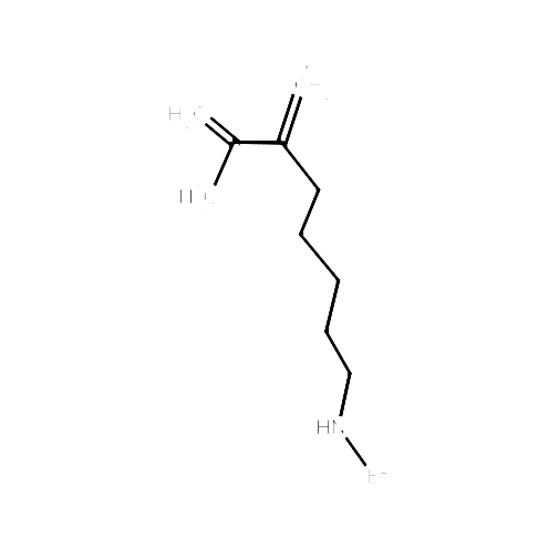 C=C(C)C(=C)CCCCCNCC